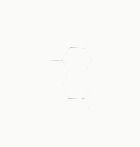 C=C(C)C(C)CC1=C(C)CC(C)CO1